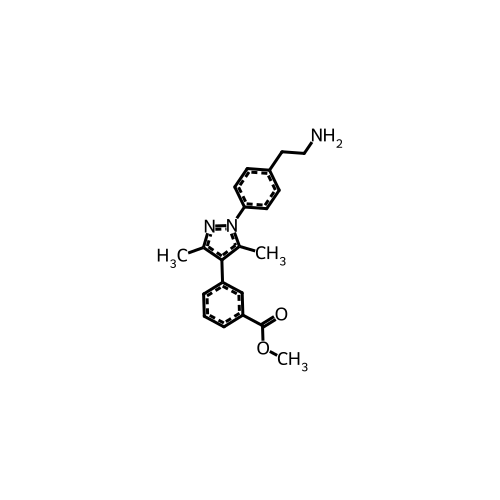 COC(=O)c1cccc(-c2c(C)nn(-c3ccc(CCN)cc3)c2C)c1